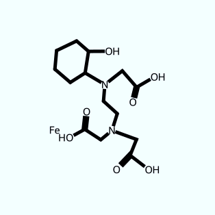 O=C(O)CN(CCN(CC(=O)O)C1CCCCC1O)CC(=O)O.[Fe]